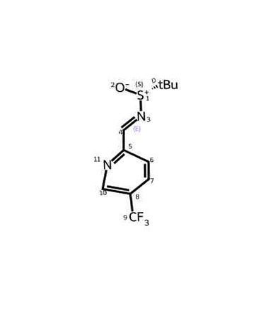 CC(C)(C)[S@@+]([O-])/N=C/c1ccc(C(F)(F)F)cn1